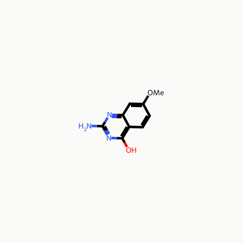 COc1ccc2c(O)nc(N)nc2c1